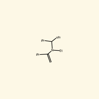 C=C(C(C)C)N(CC)C(CCC)C(C)C